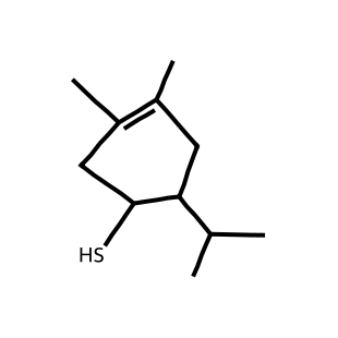 CC1=C(C)CC(C(C)C)C(S)C1